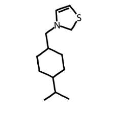 CC(C)C1CCC(CN2C=CSC2)CC1